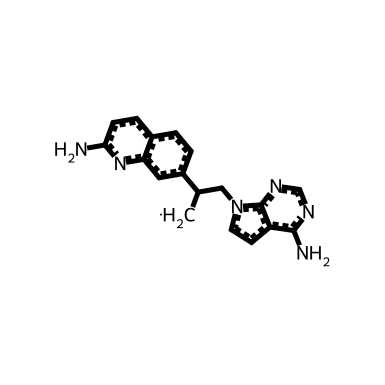 [CH2]C(Cn1ccc2c(N)ncnc21)c1ccc2ccc(N)nc2c1